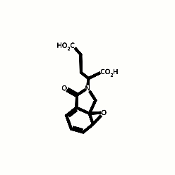 O=C(O)CCC(C(=O)O)N1CC23OC2C=CC=C3C1=O